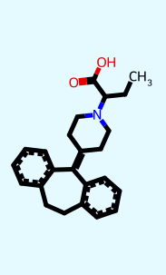 CCC(C(=O)O)N1CCC(=C2c3ccccc3CCc3ccccc32)CC1